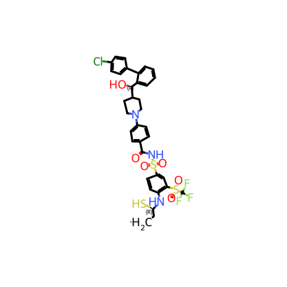 [CH2]C[C@@H](S)Nc1ccc(S(=O)(=O)NC(=O)c2ccc(N3CCC([C@@H](O)c4ccccc4-c4ccc(Cl)cc4)CC3)cc2)cc1S(=O)(=O)C(F)(F)F